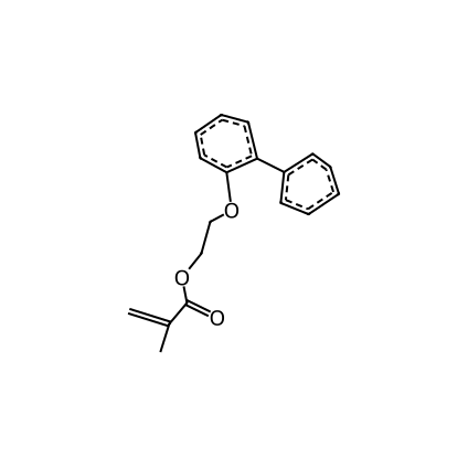 C=C(C)C(=O)OCCOc1ccccc1-c1ccccc1